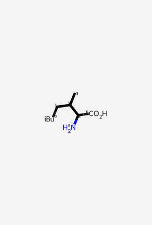 CCC(C)CC(C)C(N)C(=O)O